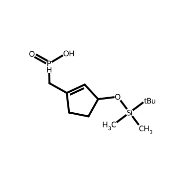 CC(C)(C)[Si](C)(C)OC1C=C(C[PH](=O)O)CC1